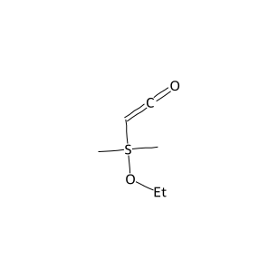 CCOS(C)(C)C=C=O